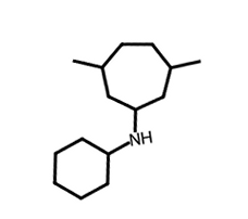 CC1CCC(C)CC(NC2CCCCC2)C1